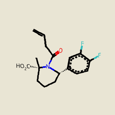 C=CCC(=O)N1[C@H](c2ccc(F)c(F)c2)CCC[C@]1(C)C(=O)O